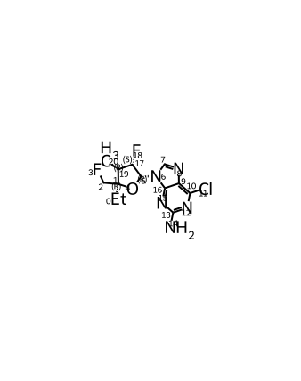 CC[C@@]1(CF)O[C@@H](n2cnc3c(Cl)nc(N)nc32)[C@@H](F)[C@@H]1C